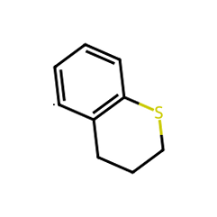 [c]1cccc2c1CCCS2